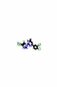 Cc1cc(-c2ccc(Cl)c(Cl)c2)nc(-n2cnc(Br)c2)n1